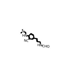 CN(C)CNc1ccc(C=CCNC=O)cc1C#N